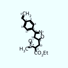 C=Cc1ccc(C2=NOC(CC(C(=O)OCC)[S+](C)[O-])C2)cc1